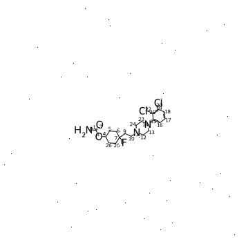 NC(=O)OC1CCC(F)(CCN2CCN(c3cccc(Cl)c3Cl)CC2)CC1